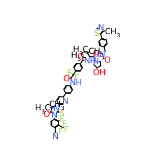 Cc1ncsc1-c1ccc(CNC(=O)[C@@H]2C[C@@H](O)CN2C(=O)[C@@H](NC(=O)c2ccc(C(F)(F)C(=O)Nc3ccc(-c4ccc(N5C(=S)N(c6ccc(C#N)c(C(F)(F)F)c6F)C(=O)C5(C)C)cn4)cc3)cc2)C(C)(C)C)cc1